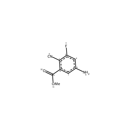 [C-]#[N+]c1c(F)cc(N)cc1C(=O)OC